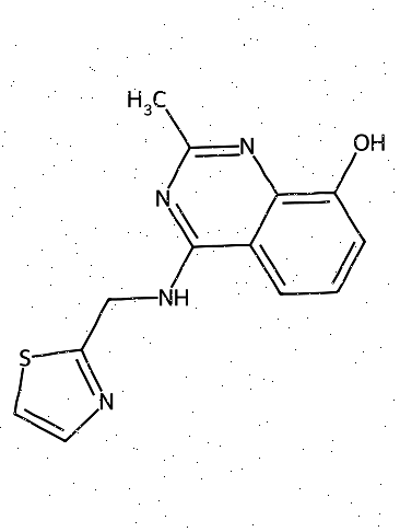 Cc1nc(NCc2nccs2)c2cccc(O)c2n1